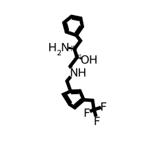 N[C@@H](Cc1ccccc1)[C@H](O)CNCc1cccc(CC(F)(F)F)c1